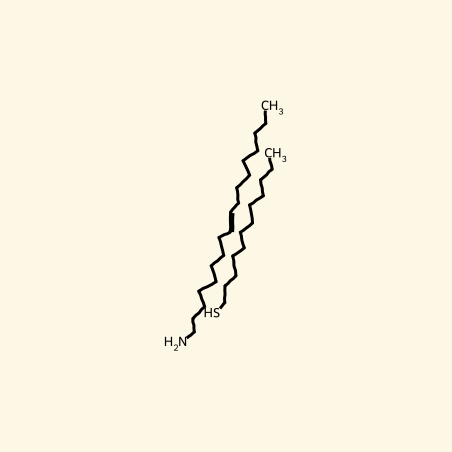 CCCCCCCCC=CCCCCCCCCN.CCCCCCCCCCCCS